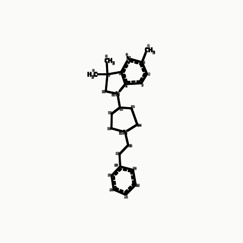 Cc1ccc2c(n1)C(C)(C)CN2C1CCN(CCc2ccccc2)CC1